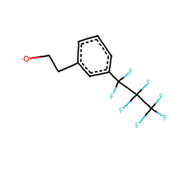 [O]CCc1cccc(C(F)(F)C(F)(F)C(F)(F)F)c1